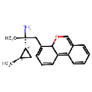 NC(CC1=CC=CC2=c3ccccc3=COC12)(C(=O)O)[C@@H]1C[C@H]1C(=O)O